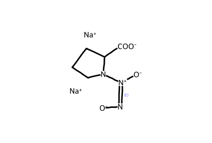 O=C([O-])C1CCCN1/[N+]([O-])=N\[O-].[Na+].[Na+]